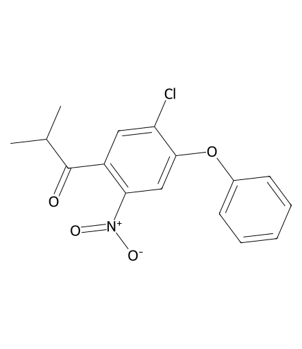 CC(C)C(=O)c1cc(Cl)c(Oc2ccccc2)cc1[N+](=O)[O-]